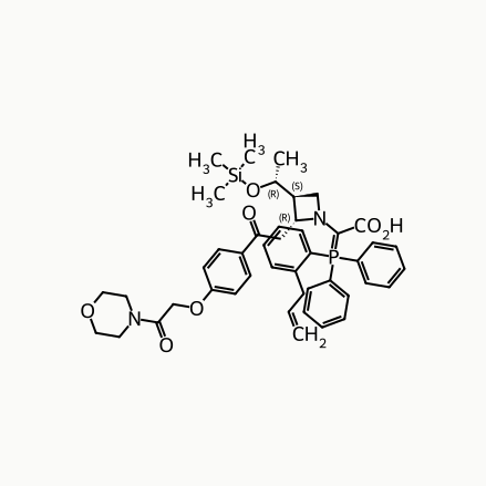 C=CCc1ccccc1P(=C(C(=O)O)N1C[C@H]([C@@H](C)O[Si](C)(C)C)[C@H]1CC(=O)c1ccc(OCC(=O)N2CCOCC2)cc1)(c1ccccc1)c1ccccc1